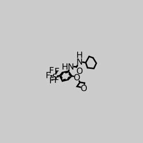 O=C(Nc1cc(S(F)(F)(F)(F)F)ccc1OC1COC1)NC1CCCCC1